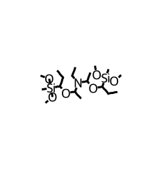 CCC(OC(C)N(CC)C(C)OC(CC)[Si](C)(OC)OC)[Si](C)(OC)OC